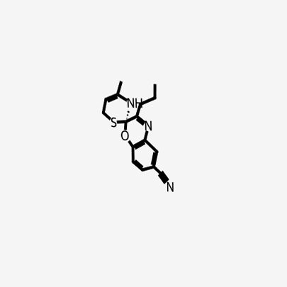 CCCC1=Nc2cc(C#N)ccc2O[C@]12NC(C)=CCS2